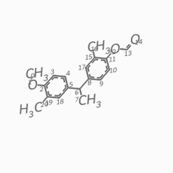 COc1ccc(C(C)c2ccc(OC=O)c(C)c2)cc1C